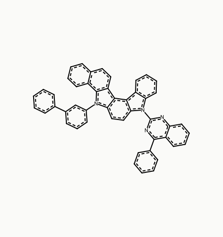 c1ccc(-c2cccc(-n3c4ccc5c(c6ccccc6n5-c5nc(-c6ccccc6)c6ccccc6n5)c4c4ccc5ccccc5c43)c2)cc1